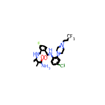 CC(NCc1cc(F)ccc1C(=O)Nc1ccc(Cl)cc1N1CCN(CCC(F)(F)F)CC1)C(C)C(N)=O